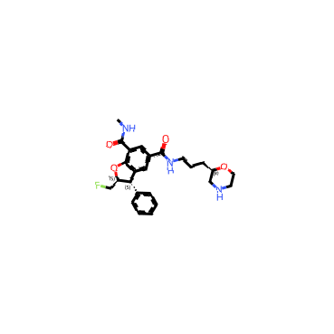 CNC(=O)c1cc(C(=O)NCCC[C@@H]2CNCCO2)cc2c1O[C@H](CF)[C@H]2c1ccccc1